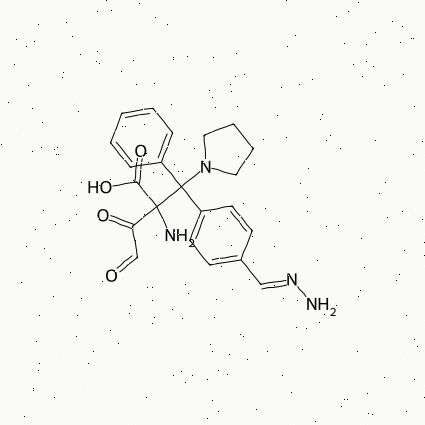 NN=Cc1ccc(C(c2ccccc2)(N2CCCC2)C(N)(C(=O)O)C(=O)C=O)cc1